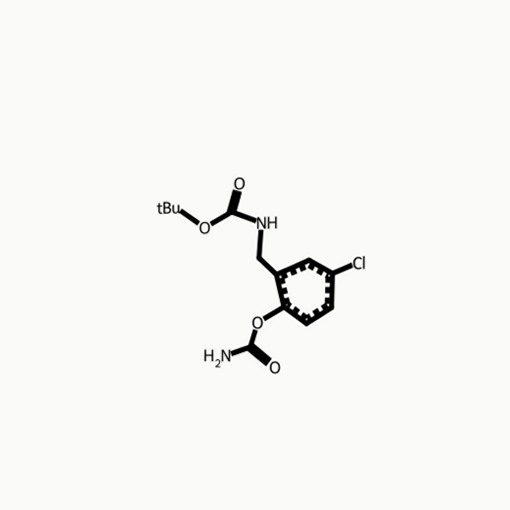 CC(C)(C)OC(=O)NCc1cc(Cl)ccc1OC(N)=O